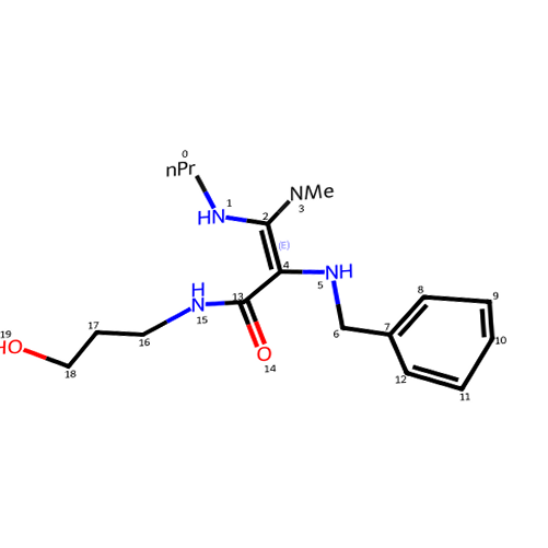 CCCN/C(NC)=C(/NCc1ccccc1)C(=O)NCCCO